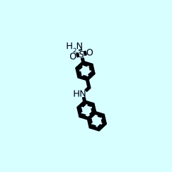 NS(=O)(=O)c1ccc(CNc2ccc3ccccc3c2)cc1